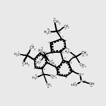 CC(C)(C)c1ccc(-c2ccc(OP(O)O)c(C(C)(C)C)c2-c2ccc(C(C)(C)C)cc2C(C)(C)C)c(C(C)(C)C)c1